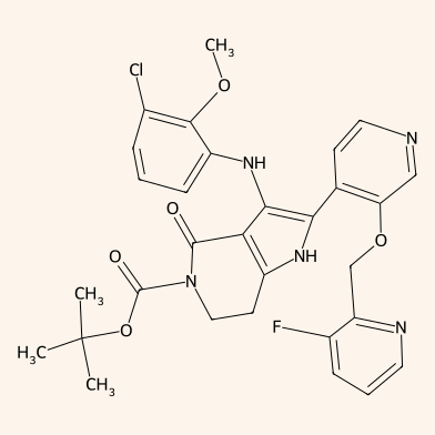 COc1c(Cl)cccc1Nc1c(-c2ccncc2OCc2ncccc2F)[nH]c2c1C(=O)N(C(=O)OC(C)(C)C)CC2